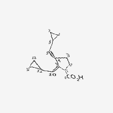 O=C(O)C1CCC(=CC2CC2)C1=CC1CC1